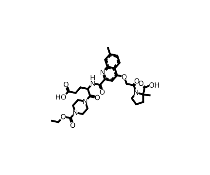 CCOC(=O)N1CCN(C(=O)C(CCC(=O)O)NC(=O)c2cc(OCC(=O)N3CCCC3(C)C(=O)O)c3ccc(C)cc3n2)CC1